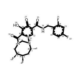 C[C@@H]1C[C@@H](F)[C@@H](F)CN2CN1n1cc(C(=O)NCc3ccc(F)cc3F)c(=O)c(O)c1C2=O